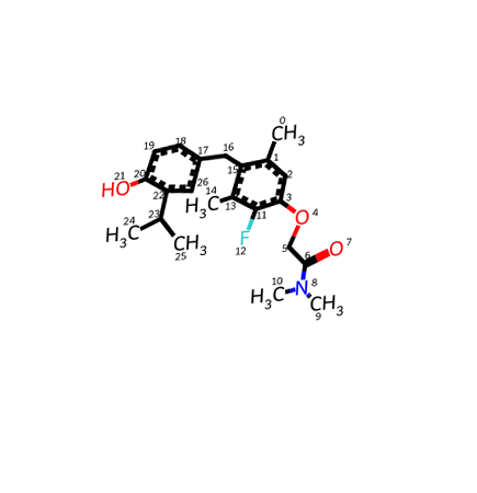 Cc1cc(OCC(=O)N(C)C)c(F)c(C)c1Cc1ccc(O)c(C(C)C)c1